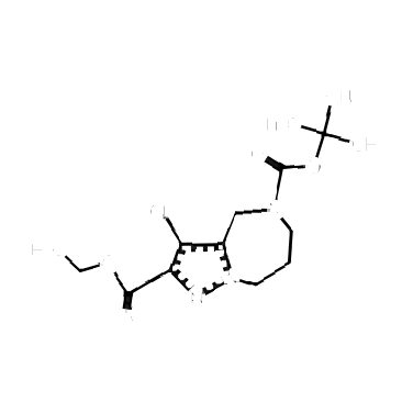 CCOC(=O)c1nn2c(c1Cl)CN(C(=O)OC(C)(C)C)CCC2